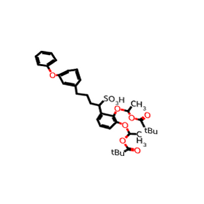 CC(OC(=O)C(C)(C)C)Oc1cccc(C(CCCc2cccc(Oc3ccccc3)c2)S(=O)(=O)O)c1OC(C)OC(=O)C(C)(C)C